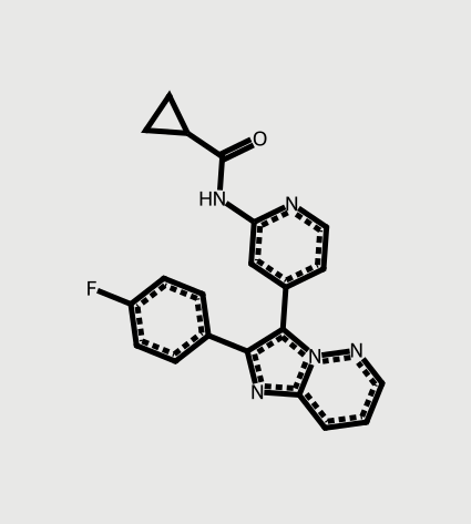 O=C(Nc1cc(-c2c(-c3ccc(F)cc3)nc3cccnn23)ccn1)C1CC1